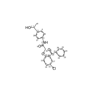 CC(O)c1ccc(NC(=O)COc2ccc(Cl)cc2C(=O)c2ccccc2)cc1